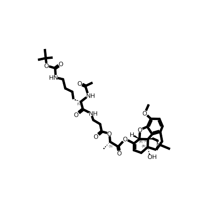 COc1ccc2c3c1O[C@H]1C(OC(=O)[C@H](C)OC(=O)CCNC(=O)[C@H](CCCCNC(=O)OC(C)(C)C)NC(C)=O)=CC[C@]4(O)C(C2)N(C)CC[C@]314